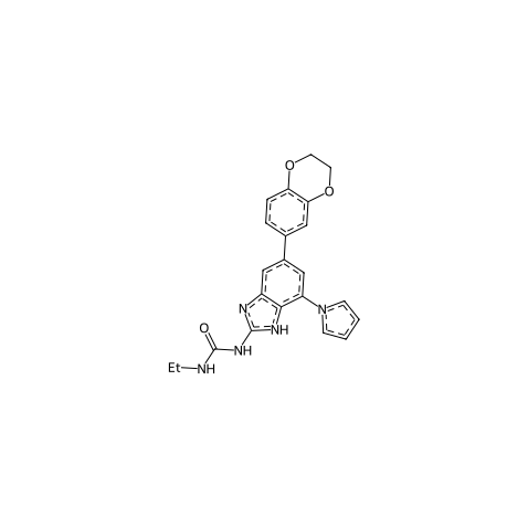 CCNC(=O)Nc1nc2cc(-c3ccc4c(c3)OCCO4)cc(-n3cccc3)c2[nH]1